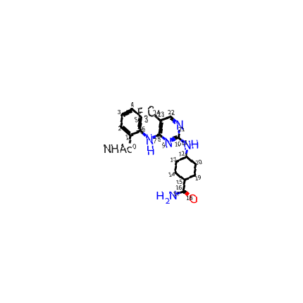 CC(=O)Nc1ccccc1Nc1nc(NC2CCC(C(N)=O)CC2)ncc1C(F)(F)F